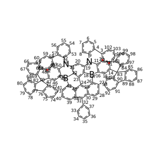 c1ccc(-c2ccccc2N2c3cc4c(cc3B3c5c2cc2c6c5-c5c7c3cccc7c(-c3ccccc3)c3cccc(c53)B6c3cc5c(cc3N2c2ccccc2-c2ccccc2)-c2ccccc2C52c3ccccc3-c3ccccc32)C2(c3ccccc3-c3ccccc32)c2ccccc2-4)cc1